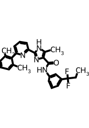 CCC(F)(F)c1cccc(NC(=O)c2nc(-c3cccc(-c4c(C)cccc4C)n3)[nH]c2C)c1